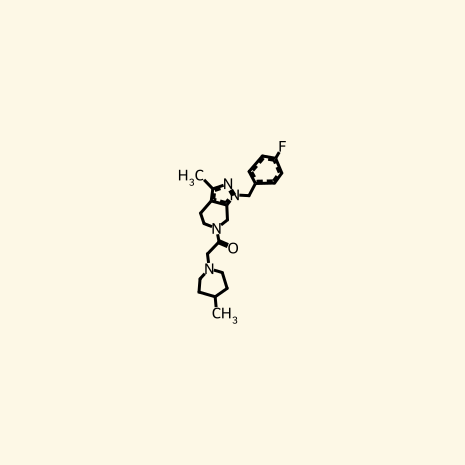 Cc1nn(Cc2ccc(F)cc2)c2c1CCN(C(=O)CN1CCC(C)CC1)C2